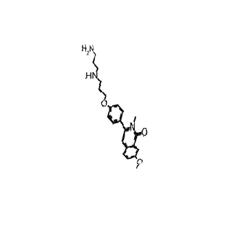 COc1ccc2cc(-c3ccc(OCCCNCCCN)cc3)n(C)c(=O)c2c1